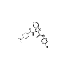 CN(C)[C@H]1CC[C@H](C(=O)Nc2c(C(=O)Nc3ccc(Cl)cn3)oc3ccncc23)CC1